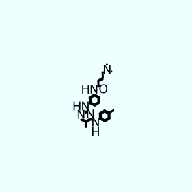 Cc1ccc(Nc2nc(Nc3cccc(NC(=O)/C=C/CN(C)C)c3)ncc2C)cc1